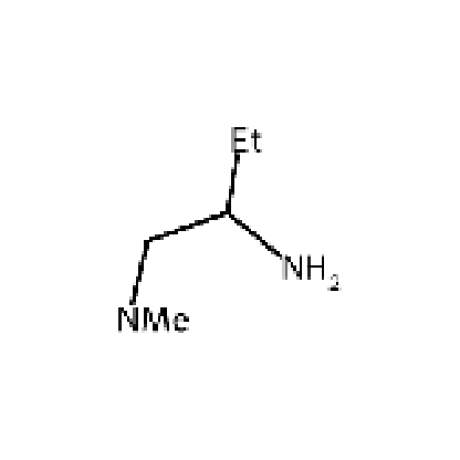 CCC(N)CNC